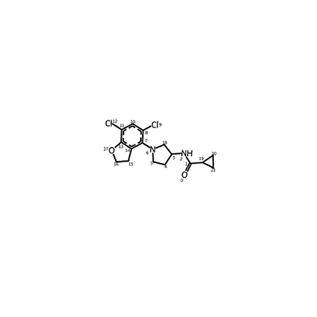 O=C(NC1CCN(c2c(Cl)cc(Cl)c3c2CCO3)C1)C1CC1